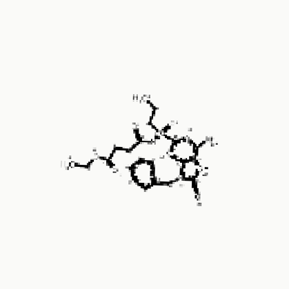 CCCS(=O)(=NC(=O)CCC(=O)OCC)c1nc(N)c2[nH]c(=O)n(Cc3ccccc3)c2n1